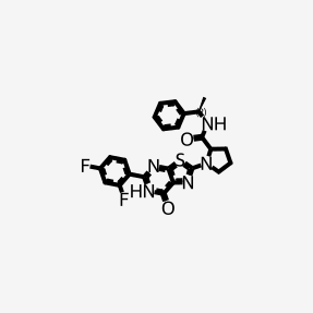 C[C@@H](NC(=O)C1CCCN1c1nc2c(=O)[nH]c(-c3ccc(F)cc3F)nc2s1)c1ccccc1